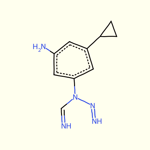 N=CN(N=N)c1cc(N)cc(C2CC2)c1